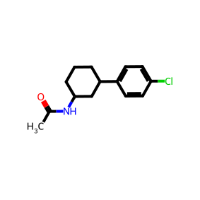 CC(=O)N[C]1CCCC(c2ccc(Cl)cc2)C1